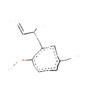 C=C[C](C)c1cc(OC)ccc1OCC